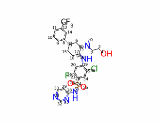 CN(CCO)[C@H]1C[C@@H](c2cccc(C(F)(F)F)c2)CC[C@@H]1Nc1cc(F)c(S(=O)(=O)Nc2ccncn2)cc1Cl